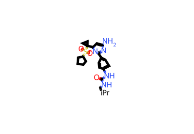 CC(C)CNC(=O)Nc1ccc(-c2nc(N)cc(C3(S(=O)(=O)C4CCCC4)CC3)n2)cc1